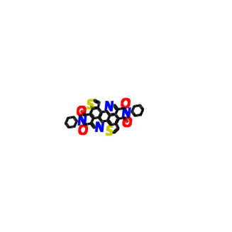 O=C1c2cnc3c4c2c(c2sccc2c4c2ncc4c5c(c6ccsc6c3c52)C(=O)N(C2CCCCC2)C4=O)C(=O)N1C1CCCCC1